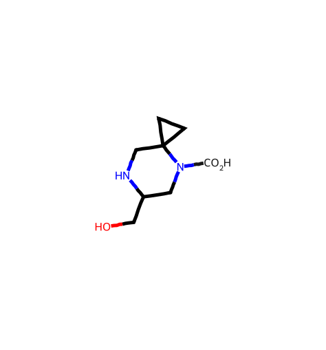 O=C(O)N1CC(CO)NCC12CC2